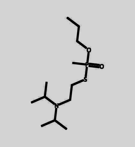 CCCOP(C)(=O)SCCN(C(C)C)C(C)C